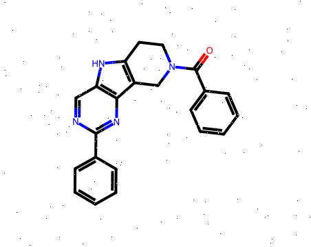 O=C(c1ccccc1)N1CCc2[nH]c3cnc(-c4ccccc4)nc3c2C1